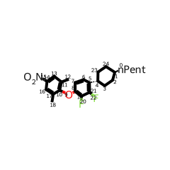 CCCCC[C@H]1CC[C@H](c2ccc(Oc3c(C)cc([N+](=O)[O-])cc3C)c(F)c2F)CC1